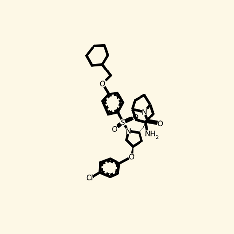 NC1CC2CCC(C1)N2C(=O)[C@@H]1C[C@@H](Oc2ccc(Cl)cc2)CN1S(=O)(=O)c1ccc(OCC2CCCCC2)cc1